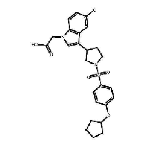 O=C(O)Cn1cc(C2CCN(S(=O)(=O)c3ccc(OC4CCCC4)cc3)C2)c2cc(Cl)ccc21